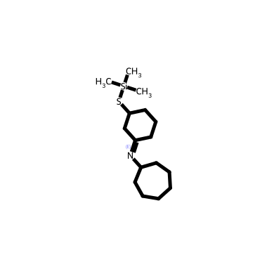 C[Si](C)(C)SC1CCC/C(=N\C2CCCCCC2)C1